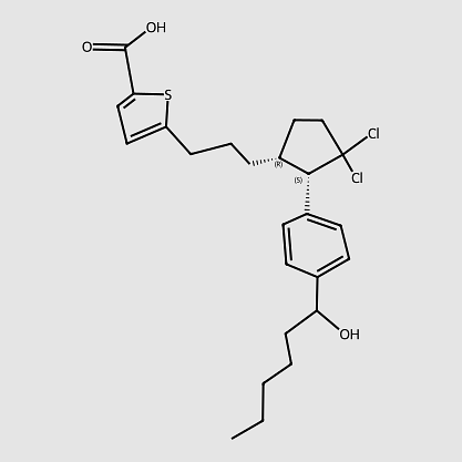 CCCCCC(O)c1ccc([C@@H]2[C@H](CCCc3ccc(C(=O)O)s3)CCC2(Cl)Cl)cc1